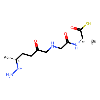 CC[C@H](C)[C@H](NC(=O)CNCC(=O)CC[C@H](NN)C(C)=O)C(=O)S